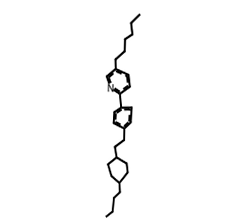 CCCCCCc1ccc(-c2ccc(CCC3CCC(CCCC)CC3)cc2)nc1